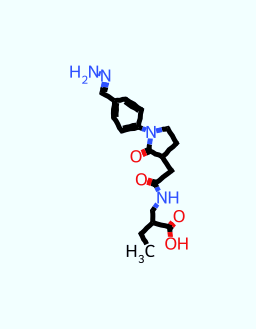 CCC(CNC(=O)CC1CCN(c2ccc(C=NN)cc2)C1=O)C(=O)O